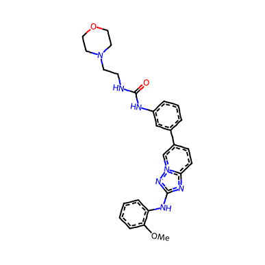 COc1ccccc1Nc1nc2ccc(-c3cccc(NC(=O)NCCN4CCOCC4)c3)cn2n1